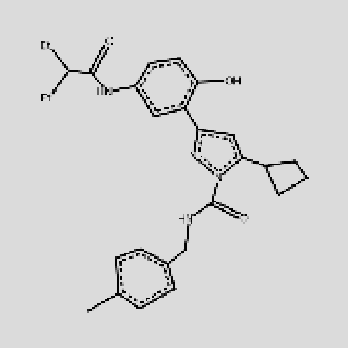 CCC(CC)C(=O)Nc1ccc(O)c(-c2cc(C3CCC3)n(C(=O)NCc3ccc(C)cc3)n2)c1